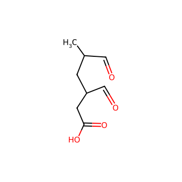 CC(C=O)CC(C=O)CC(=O)O